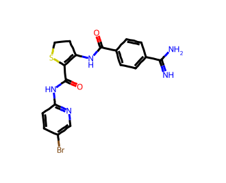 N=C(N)c1ccc(C(=O)NC2=C(C(=O)Nc3ccc(Br)cn3)SCC2)cc1